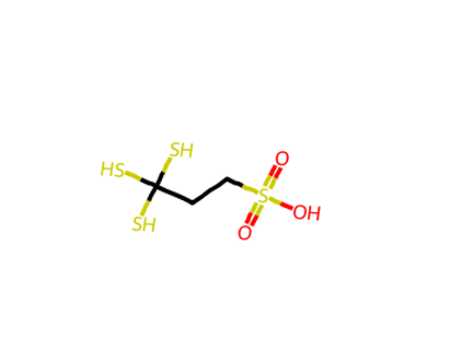 O=S(=O)(O)CCC(S)(S)S